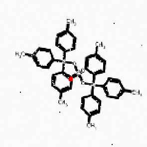 Cc1ccc([Si]([O][Cr](=[O])(=[O])[O][Si](c2ccc(C)cc2)(c2ccc(C)cc2)c2ccc(C)cc2)(c2ccc(C)cc2)c2ccc(C)cc2)cc1